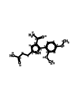 COc1ccc(-c2[nH]c(CCC(=O)O)cc2C(N)=O)c(OC)c1